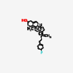 C[C@H](CCCc1ccc(F)cc1)C1CC[C@H]2C3CC=C4CC(O)CCC4(C)[C@H]3CCC12C